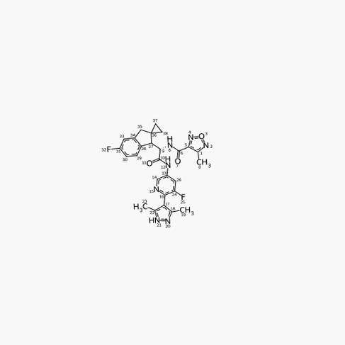 Cc1nonc1C(=O)N[C@H](C(=O)Nc1cnc(-c2c(C)n[nH]c2C)c(F)c1)C1c2ccc(F)cc2CC12CC2